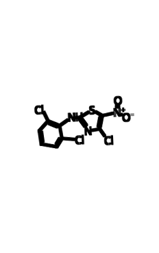 O=[N+]([O-])c1sc(Nc2c(Cl)cccc2Cl)nc1Cl